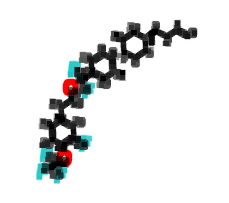 C=CCC[C@H]1CC[C@H](c2ccc(C(F)(F)OCCc3ccc(OC(F)(F)F)c(F)c3)cc2)CC1